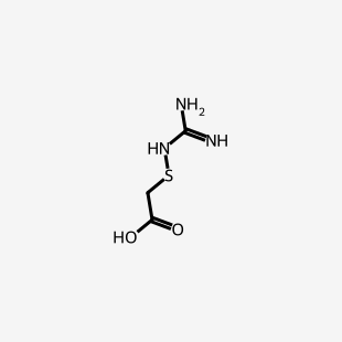 N=C(N)NSCC(=O)O